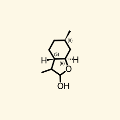 CC1C(O)O[C@@H]2C[C@H](C)CC[C@@H]12